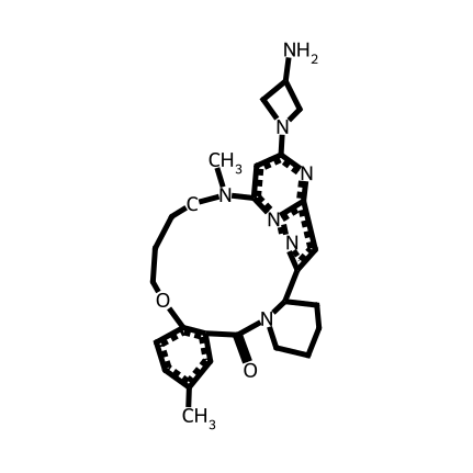 Cc1ccc2c(c1)C(=O)N1CCCCC1c1cc3nc(N4CC(N)C4)cc(n3n1)N(C)CCCCO2